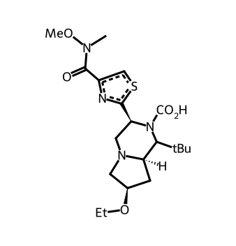 CCO[C@@H]1C[C@@H]2C(C(C)(C)C)N(C(=O)O)[C@H](c3nc(C(=O)N(C)OC)cs3)CN2C1